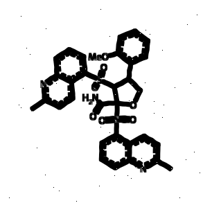 COc1ccccc1C1COC(C(N)=O)(S(=O)(=O)c2cccc3nc(C)ccc23)C1S(=O)(=O)c1cccc2nc(C)ccc12